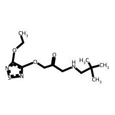 CCOc1nsnc1OCC(=O)CNCC(C)(C)C